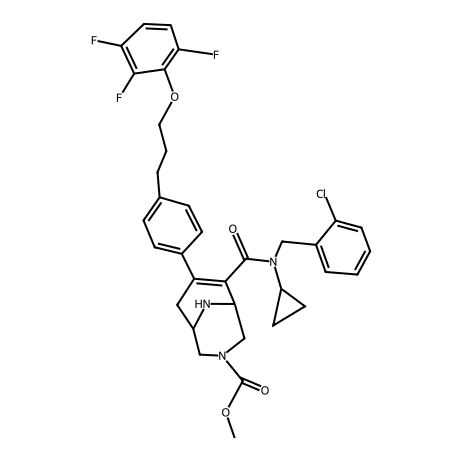 COC(=O)N1CC2CC(c3ccc(CCCOc4c(F)ccc(F)c4F)cc3)=C(C(=O)N(Cc3ccccc3Cl)C3CC3)C(C1)N2